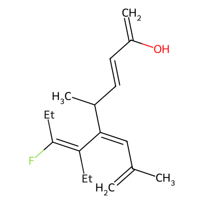 C=C(O)C=CC(C)C(=C/C(=C)C)/C(CC)=C(/F)CC